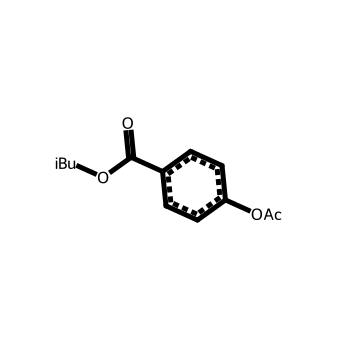 CCC(C)OC(=O)c1ccc(OC(C)=O)cc1